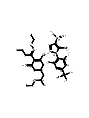 CCC/C(=N\OCC)C1=C(O)CC(CC(C)SCC)CC1=O.Nc1c([N+](=O)[O-])cnn1-c1c(Cl)cc(C(F)(F)F)cc1Cl